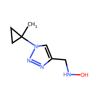 CC1(n2cc(CNO)nn2)CC1